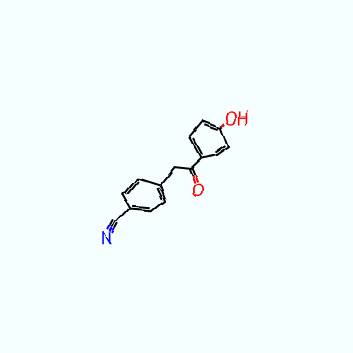 N#Cc1ccc(CC(=O)c2ccc(O)cc2)cc1